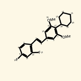 COc1cc(C=Cc2ccc(F)cc2F)cc(OC)c1C1CCCCC1